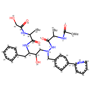 COC(=O)NC(C(=O)NN(Cc1ccc(-c2ccccn2)cc1)CC(O)C(Cc1ccccc1)NC(=O)C(NC(=O)CO)C(C)(C)C)C(C)(C)C